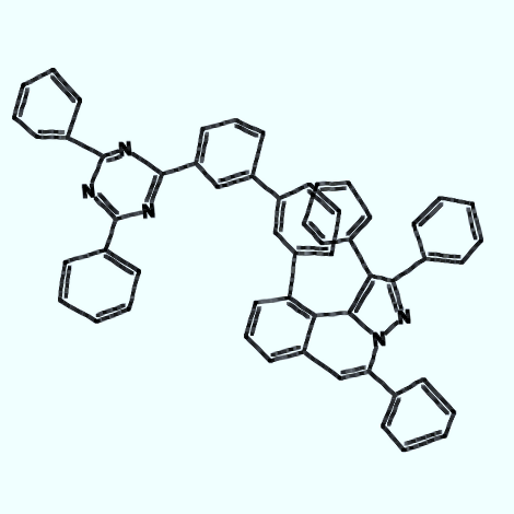 c1ccc(-c2nc(-c3ccccc3)nc(-c3cccc(-c4cccc(-c5cccc6cc(-c7ccccc7)n7nc(-c8ccccc8)c(-c8ccccc8)c7c56)c4)c3)n2)cc1